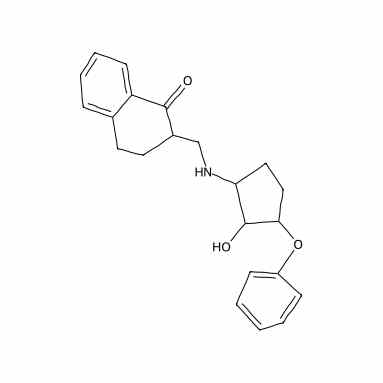 O=C1c2ccccc2CCC1CNC1CCC(Oc2ccccc2)C1O